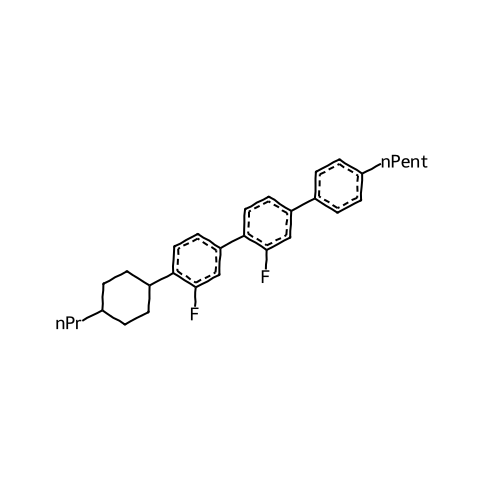 CCCCCc1ccc(-c2ccc(-c3ccc(C4CCC(CCC)CC4)c(F)c3)c(F)c2)cc1